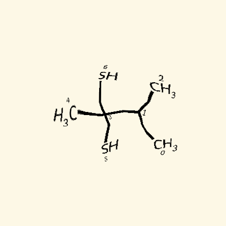 CC(C)C(C)(S)S